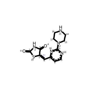 O=C1NC(=O)/C(=C\c2ccnc(N3CCNCC3)n2)S1